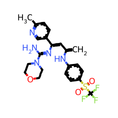 C=C(/C=C(\N=C(/N)N1CCOCC1)c1ccc(C)nc1)Nc1ccc(S(=O)(=O)C(F)(F)F)cc1